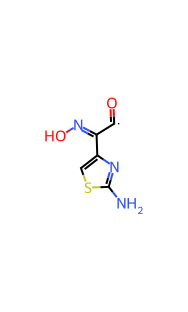 Nc1nc(/C([C]=O)=N\O)cs1